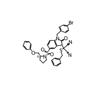 N#CC(C#N)(SCc1ccccc1)C1C(=O)N(Cc2ccc(Br)cc2)c2ccc(S(=O)(=O)N3CCC[C@H]3COc3ccccc3)cc21